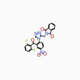 O=C(c1cc([N+](=O)[O-])ccc1-n1cnnc1CN1C(=O)c2ccccc2C1=O)c1c(F)cccc1F